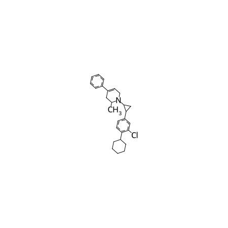 CC1CC(c2ccccc2)=CCN1C1CC1c1ccc(C2CCCCC2)c(Cl)c1